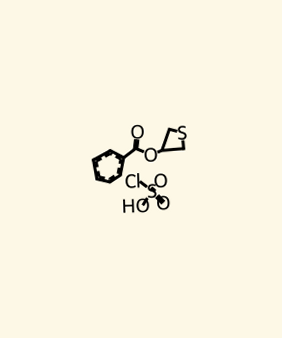 O=C(OC1CSC1)c1ccccc1.O=S(=O)(O)Cl